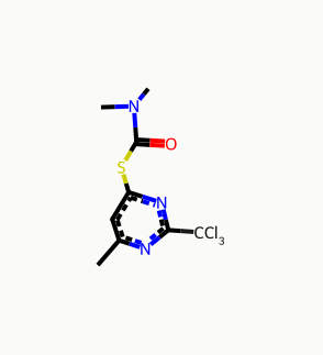 Cc1cc(SC(=O)N(C)C)nc(C(Cl)(Cl)Cl)n1